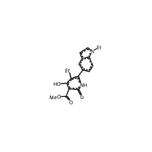 CCc1c(-c2ccc3c(ccn3CC)c2)[nH]c(=O)c(C(=O)OC)c1O